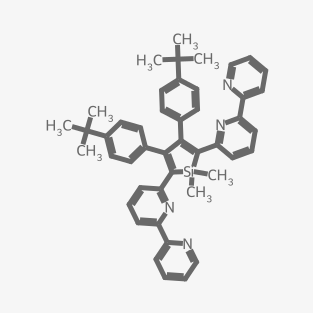 CC(C)(C)c1ccc(C2=C(c3cccc(-c4ccccn4)n3)[Si](C)(C)C(c3cccc(-c4ccccn4)n3)=C2c2ccc(C(C)(C)C)cc2)cc1